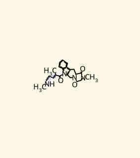 CN/C=C\C=C(/C)C(=O)n1c2c(c3ccccc31)CC1C(=O)N(C)CC(=O)N1C2